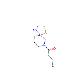 CC(C)CCC(=O)N1CCCC2(C1)NCCS2